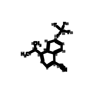 CN(C)c1ccc([N+]#N)c2ccccc12.F[B-](F)(F)F